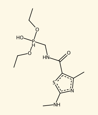 CCO[PH](O)(CNC(=O)c1sc(NC)nc1C)OCC